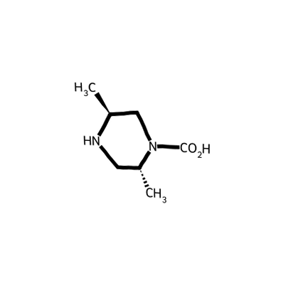 C[C@@H]1CN[C@@H](C)CN1C(=O)O